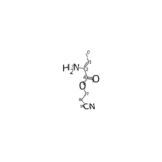 C/C=C(\N)C(=O)OCCC#N